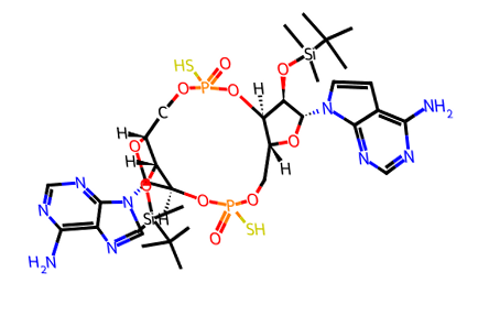 CC(C)(C)[Si](C)(C)O[C@@H]1[C@@H]2OP(=O)(S)OC[C@H]3O[C@@H](n4cnc5c(N)ncnc54)[C@H](OP(=O)(S)OC[C@H]2O[C@H]1n1ccc2c(N)ncnc21)[C@@H]3O[Si](C)(C)C(C)(C)C